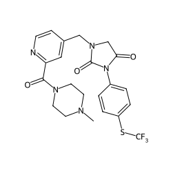 CN1CCN(C(=O)c2cc(CN3CC(=O)N(c4ccc(SC(F)(F)F)cc4)C3=O)ccn2)CC1